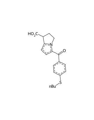 CCCCSc1ccc(C(=O)c2ccc3n2CCC3C(=O)O)cc1